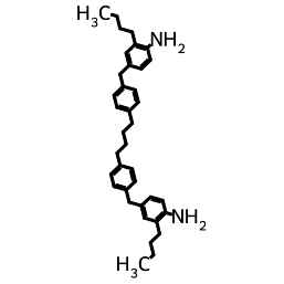 CCCCc1cc(Cc2ccc(CCCCc3ccc(Cc4ccc(N)c(CCCC)c4)cc3)cc2)ccc1N